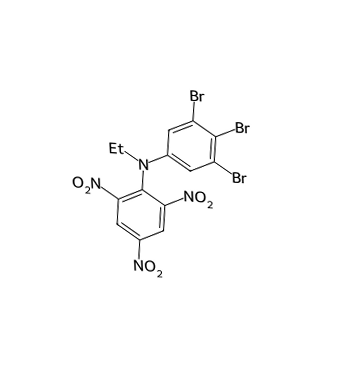 CCN(c1cc(Br)c(Br)c(Br)c1)c1c([N+](=O)[O-])cc([N+](=O)[O-])cc1[N+](=O)[O-]